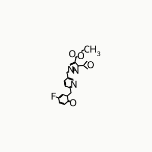 CCOC(=O)c1cn(Cc2ccc(CC3C=C(F)C=CC3=O)nc2)nc1C1COC1